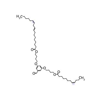 CCC/C=C\CCCCCCC(=O)OCCCCOc1cc(C=O)cc(OCCCCOC(=O)CCCCCCCC=CC/C=C\CCCCC)c1